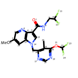 COc1cnc2c(C(=O)NCC(F)F)cn(Cc3ncnc(OC(F)F)c3C)c2c1